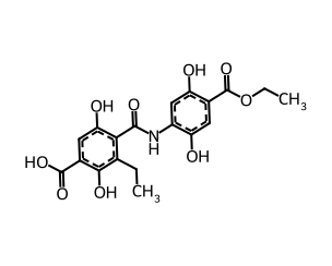 CCOC(=O)c1cc(O)c(NC(=O)c2c(O)cc(C(=O)O)c(O)c2CC)cc1O